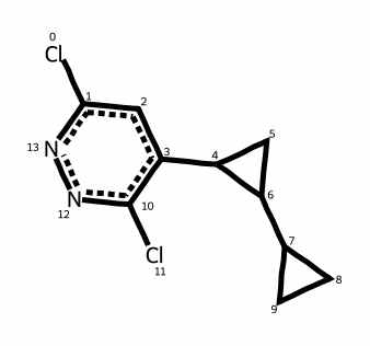 Clc1cc(C2CC2C2CC2)c(Cl)nn1